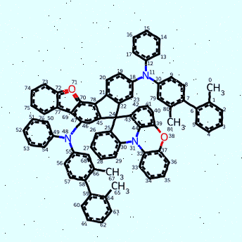 Cc1ccccc1-c1ccc(N(c2ccccc2)c2ccc3c(c2)C2(c4ccccc4N4c5ccccc5Oc5cccc2c54)c2cc(N(c4ccccc4)c4ccc(-c5ccccc5C)c(C)c4)c4c(oc5ccccc54)c2-3)cc1C